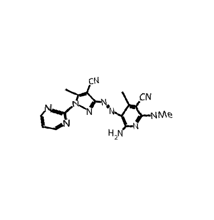 CNc1nc(N)c(N=Nc2nn(-c3ncccn3)c(C)c2C#N)c(C)c1C#N